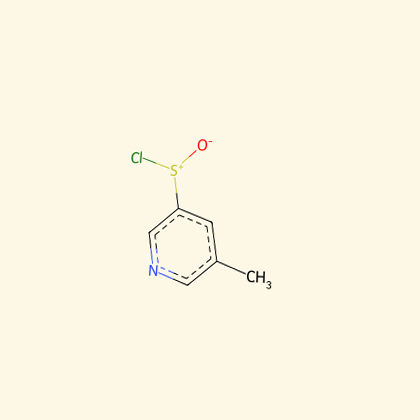 Cc1cncc([S+]([O-])Cl)c1